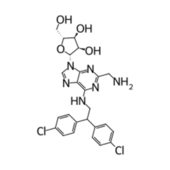 NCc1nc(NCC(c2ccc(Cl)cc2)c2ccc(Cl)cc2)c2ncn([C@@H]3O[C@H](CO)[C@@H](O)[C@H]3O)c2n1